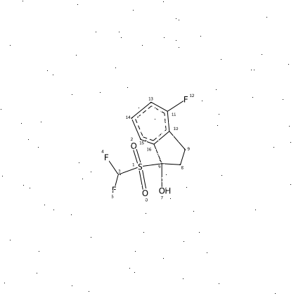 O=S(=O)(C(F)F)C1(O)CCc2c(F)cccc21